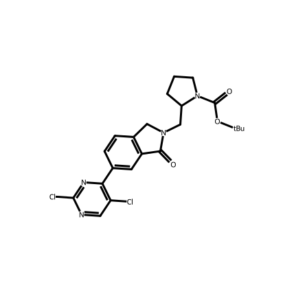 CC(C)(C)OC(=O)N1CCCC1CN1Cc2ccc(-c3nc(Cl)ncc3Cl)cc2C1=O